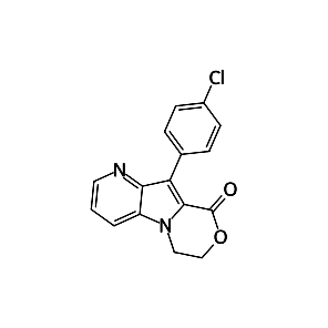 O=C1OCCn2c1c(-c1ccc(Cl)cc1)c1ncccc12